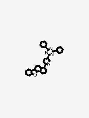 c1ccc(-c2nc(-c3ccccc3)nc(-c3ccc(-c4cccc5c4ccc4c6ccccc6oc54)nc3)n2)cc1